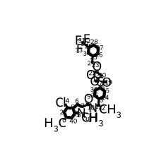 Cc1cc(Cl)c2cc(C(=O)NC(C)c3ccc(S(=O)(=O)CC(=O)OCc4cccc(C(F)(F)F)c4)cc3)n(C)c2c1